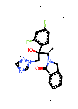 C[C@@H](N1Cc2ccccc2C1=O)C(O)(Cn1cncn1)c1ccc(F)cc1F